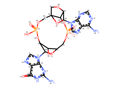 B[P@@]1(=O)OCC2OC(n3cnc4c(=O)[nH]c(N)nc43)C(OP(=O)(O)OCC34COC(C(n5cnc6c(N)ncnc65)O3)C4O1)C2O